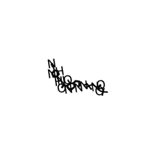 CC(C)(C)OC(=O)N1CC2(C1)CN(c1ccc3c(O)c(C(=O)NCc4ccc(C#N)nc4)ncc3n1)C2